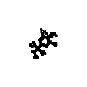 CCOC(c1cc(C)c(N)c(CC)c1)(C(F)(F)F)C(F)(F)F